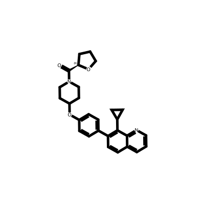 O=C([C@H]1CCCO1)N1CCC(Oc2ccc(-c3ccc4cccnc4c3C3CC3)cc2)CC1